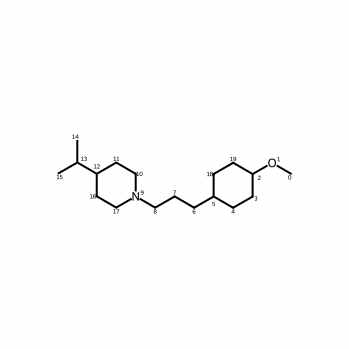 COC1CCC(CCCN2CCC(C(C)C)CC2)CC1